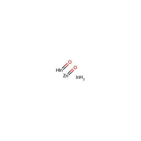 [InH3].[O]=[InH].[O]=[Zn]